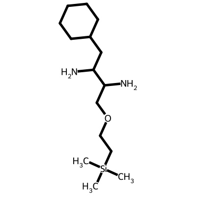 C[Si](C)(C)CCOCC(N)C(N)CC1CCCCC1